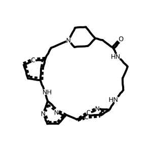 O=C1CC2CCN(CC2)Cc2cccc(c2)Nc2nccc(n2)-c2ccc(nc2)NCCCN1